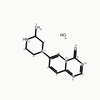 CC1CN(c2ccc3ncnc(=O)n3c2)CCN1.Cl